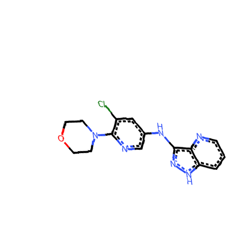 Clc1cc(Nc2n[nH]c3cccnc23)cnc1N1CCOCC1